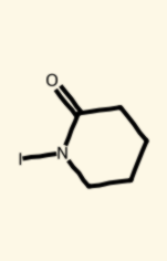 O=C1CCCCN1I